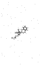 NCCc1cn(C2CCc3ccccc3C2)c(=S)[nH]1